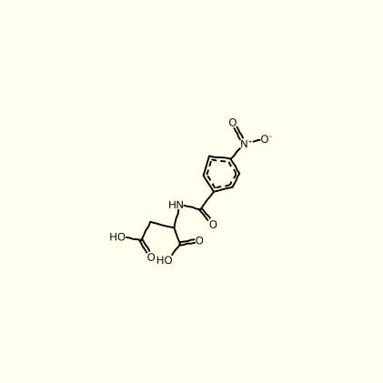 O=C(O)CC(NC(=O)c1ccc([N+](=O)[O-])cc1)C(=O)O